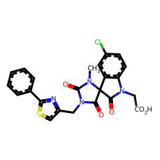 CN1C(=O)N(Cc2csc(-c3ccccc3)n2)C(=O)C12C(=O)N(CC(=O)O)c1ccc(Cl)cc12